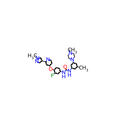 Cc1cc(NC(=O)Nc2ccc(Oc3ccnc(-c4cnn(C)c4)c3)c(F)c2)cc(N2CCN(C)CC2)c1